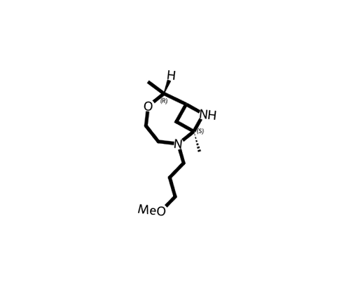 COCCCN1CCO[C@H](C)C2C[C@@]1(C)N2